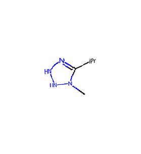 CC(C)C1=NNNN1C